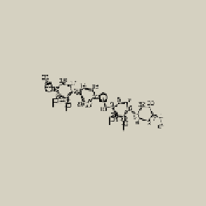 CCC1CCC(c2ccc(COc3ccc(-c4ccc(OC)c(F)c4F)cc3)c(F)c2F)CC1